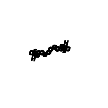 O=C1NC(=O)/C(=C\c2ccc(Oc3ccc4cc(Oc5ccc(/C=C6/SC(=O)NC6=O)cc5)ccc4c3)cc2)S1